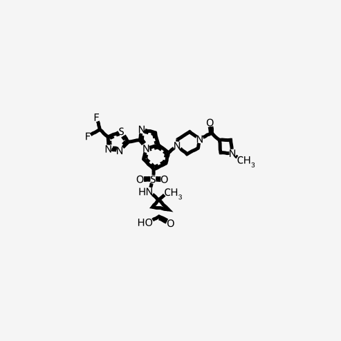 CN1CC(C(=O)N2CCN(c3cc(S(=O)(=O)NC4(C)CC4)cn4c(-c5nnc(C(F)F)s5)ncc34)CC2)C1.O=CO